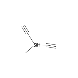 C#C[SiH](C)C#C